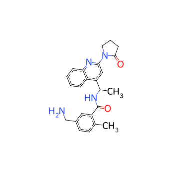 Cc1ccc(CN)cc1C(=O)NC(C)c1cc(N2CCCC2=O)nc2ccccc12